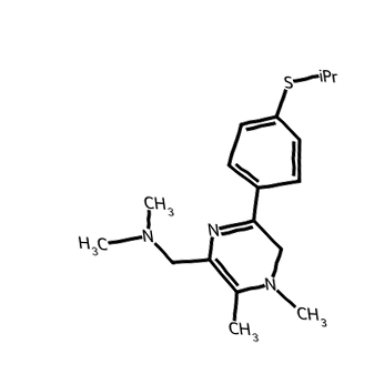 CC1=C(CN(C)C)N=C(c2ccc(SC(C)C)cc2)CN1C